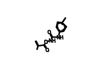 C=C(C)C(=O)ONC(=O)Nc1ccc(C)cc1